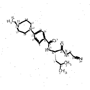 CC(C)C[C@H](NC(=O)c1ccc(N2CCN(C)CC2)cc1)C(=O)NCC#N